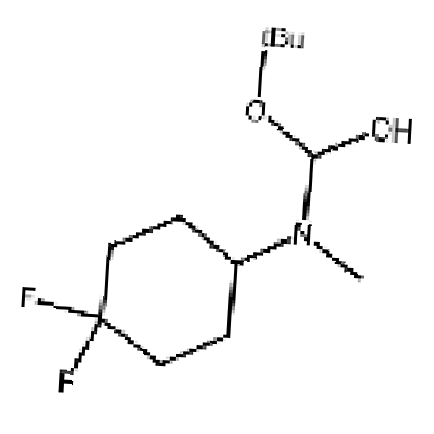 CN(C1CCC(F)(F)CC1)C(O)OC(C)(C)C